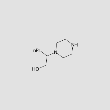 CCCC(CO)N1CCNCC1